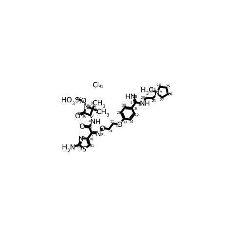 CC1(C)[C@H](NC(=O)C(=NOCCOc2ccc(C(=N)NCC[N+]3(C)CCCC3)cc2)c2csc(N)n2)C(=O)N1OS(=O)(=O)O.[Cl-]